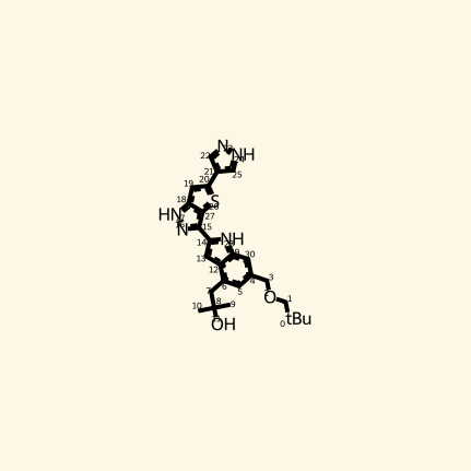 CC(C)(C)COCc1cc(CC(C)(C)O)c2cc(-c3n[nH]c4cc(-c5cn[nH]c5)sc34)[nH]c2c1